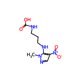 Cn1ncc([N+](=O)[O-])c1NCCCNC(=O)O